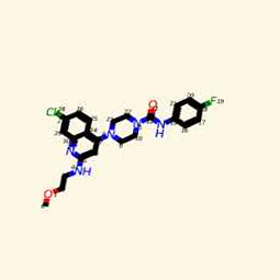 COCCNc1cc(N2CCN(C(=O)Nc3ccc(F)cc3)CC2)c2ccc(Cl)cc2n1